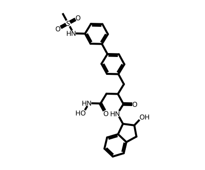 CS(=O)(=O)Nc1cccc(-c2ccc(CC(CC(=O)NO)C(=O)NC3c4ccccc4CC3O)cc2)c1